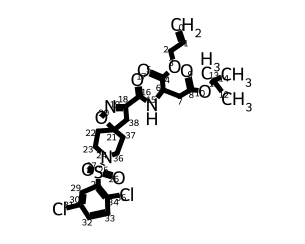 C=CCOC(=O)C(CC(=O)OC(C)(C)C)NC(=O)C1=NOC2(CCN(S(=O)(=O)c3cc(Cl)ccc3Cl)CC2)C1